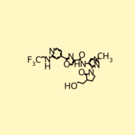 Cn1cc(NC(=O)c2coc(-c3ccnc(NCC(F)(F)F)c3)n2)c(N2CCC(CCO)C2=O)n1